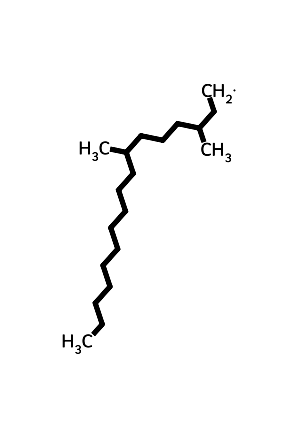 [CH2]CC(C)CCCC(C)CCCCCCCCCC